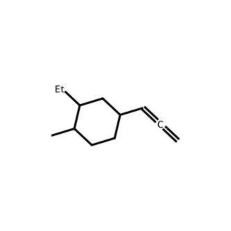 C=C=CC1CCC(C)C(CC)C1